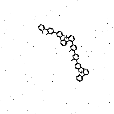 Cc1cc(-c2ccc(-c3cccc4c3c3cccc5c6cc(-c7ccc(-c8ccccc8C)c(C)c7)ccc6n4c53)cc2C)ccc1-c1ccc2c(c1)c1cccc3c4ccccc4n2c31